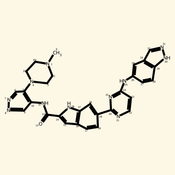 CN1CCN(c2cnncc2NC(=O)c2cc3ccc(-c4nccc(Nc5ccc6[nH]ncc6c5)n4)cc3[nH]2)CC1